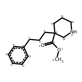 COC(=O)C1(CCCc2ccccc2)CCCNC1